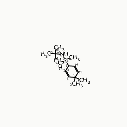 CC1(C)C=CC([Si](C)(C)NC(C)(C)C)C=C1